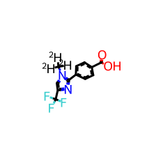 [2H]C([2H])([2H])n1cc(C(F)(F)F)nc1-c1ccc(C(=O)O)cc1